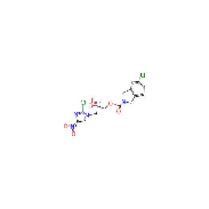 C[C@](O)(COC(=O)N1[CH]c2ccc(Cl)cc2C1)Cn1cc([N+](=O)[O-])nc1Cl